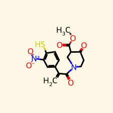 C=C(C(=O)N1CCC(=O)C(C(=O)OC)C1)c1ccc(S)c([N+](=O)[O-])c1